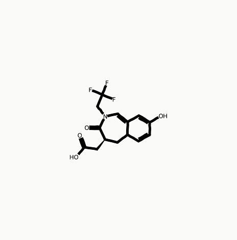 O=C(O)C[C@@H]1CC2C=CC(O)=CC2=CN(CC(F)(F)F)C1=O